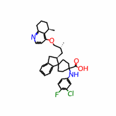 C[C@@H](COc1ccnc2c1[C@H](C)CCC2)C[C@@H]1Cc2ccccc2C12CCC(Nc1ccc(F)c(Cl)c1)(C(=O)O)CC2